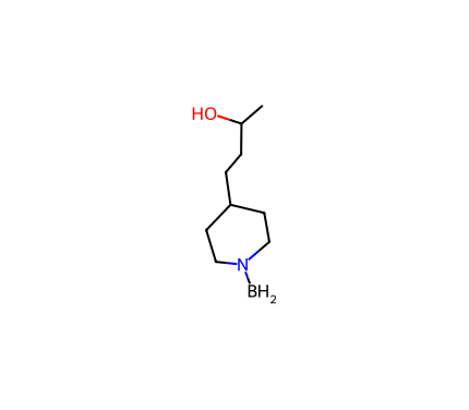 BN1CCC(CCC(C)O)CC1